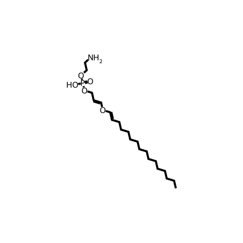 CCCCCCCCCCCCCC/C=C/O/C=C/COP(=O)(O)OCCN